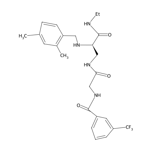 CCNC(=O)[C@@H](CNC(=O)CNC(=O)c1cccc(C(F)(F)F)c1)NCc1ccc(C)cc1C